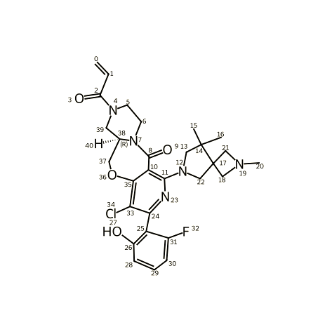 C=CC(=O)N1CCN2C(=O)c3c(N4CC(C)(C)C5(CN(C)C5)C4)nc(-c4c(O)cccc4F)c(Cl)c3OC[C@H]2C1